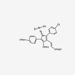 CCCCCCCC=CC1=C(c2ccc(CC)cc2)[N+](=[N-])C(c2ccc(CCCCCC)cc2)=C1CCCCCC.C[CH2][Ni][CH2]C